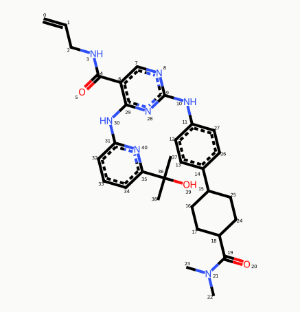 C=CCNC(=O)c1cnc(Nc2ccc(C3CCC(C(=O)N(C)C)CC3)cc2)nc1Nc1cccc(C(C)(C)O)n1